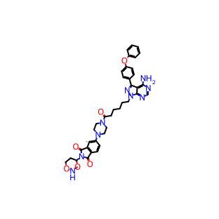 Nc1ncnc2c1c(-c1ccc(Oc3ccccc3)cc1)nn2CCCCCC(=O)N1CCN(c2[c]c3c(cc2)C(=O)N(C2CCONO2)C3=O)CC1